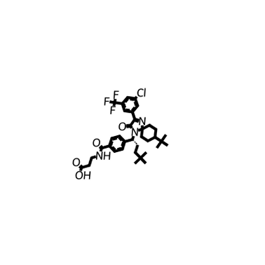 CC(C)(C)CC[C@H](c1ccc(C(=O)NCCC(=O)O)cc1)N1C(=O)C(c2cc(Cl)cc(C(F)(F)F)c2)=NC12CCC(C(C)(C)C)CC2